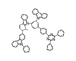 CC1c2c(c3ccccc3n2C2=CC(n3c4ccccc4c4ccccc43)C=C(c3ccc(-c4nc(-c5ccccc5)nc(-c5ccccc5)n4)cc3)C=C2)C=CC1c1ccc2c(c1)c1ccccc1n2-c1ccccc1